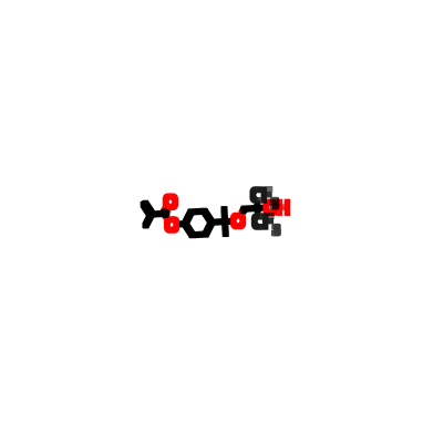 C=C(C)C(=O)OC1CCC(C(C)(C)OCC(O)(C(F)(F)F)C(F)(F)F)CC1